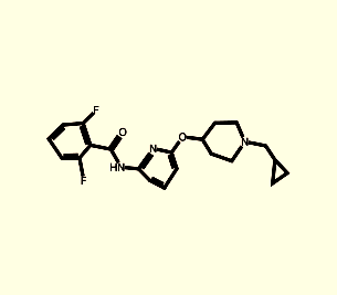 O=C(Nc1cccc(OC2CCN(CC3CC3)CC2)n1)c1c(F)cccc1F